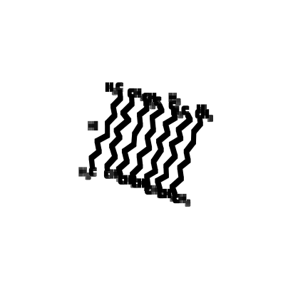 CCCCCCCCCC.CCCCCCCCCC.CCCCCCCCCC.CCCCCCCCCC.CCCCCCCCCC.CCCCCCCCCC.CCCCCCCCCC.I.I